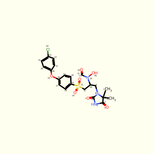 CC1(C)C(=O)NC(=O)N1CC(CS(=O)(=O)c1ccc(Oc2ccc(Cl)cc2)cc1)N(O)C=O